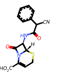 N#CC(C(=O)N[C@@H]1C(=O)N2C(C(=O)O)=CCS[C@@H]12)c1ccccc1